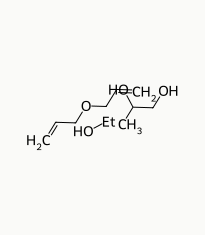 C=CCOCC=C.CC(O)CO.CCO